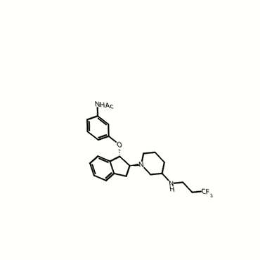 CC(=O)Nc1cccc(O[C@H]2c3ccccc3C[C@@H]2N2CCCC(NCCC(F)(F)F)C2)c1